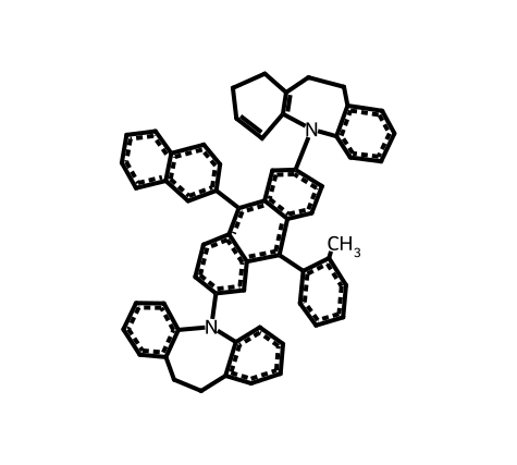 Cc1ccccc1-c1c2ccc(N3C4=C(CCC=C4)CCc4ccccc43)cc2c(-c2ccc3ccccc3c2)c2ccc(N3c4ccccc4CCc4ccccc43)cc12